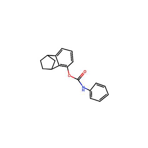 O=C(Nc1ccccc1)Oc1cccc2c1C1CCC2C1